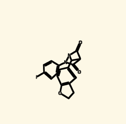 O=C1C2C(=O)N(C2c2ccc3c(c2)CCO3)N1c1ccc(I)cc1